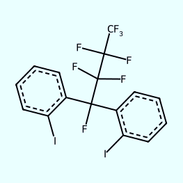 FC(F)(F)C(F)(F)C(F)(F)C(F)(c1ccccc1I)c1ccccc1I